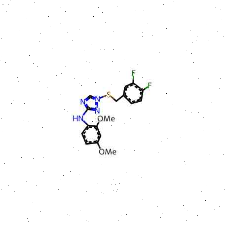 COc1ccc(Nc2ncn(SCc3ccc(F)c(F)c3)n2)c(OC)c1